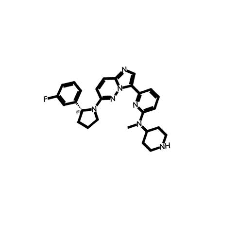 CN(c1cccc(-c2cnc3ccc(N4CCC[C@@H]4c4cccc(F)c4)nn23)n1)C1CCNCC1